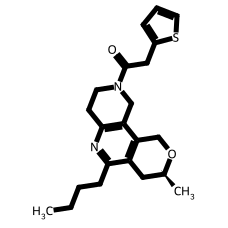 CCCCc1nc2c(c3c1C[C@H](C)OC3)CN(C(=O)Cc1cccs1)CC2